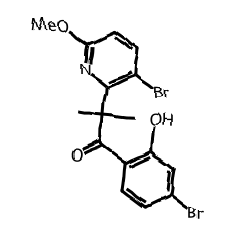 COc1ccc(Br)c(C(C)(C)C(=O)c2ccc(Br)cc2O)n1